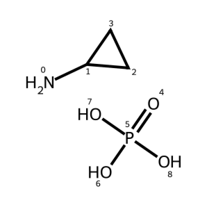 NC1CC1.O=P(O)(O)O